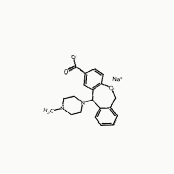 CN1CCN(C2c3ccccc3COc3ccc(C(=O)[O-])cc32)CC1.[Na+]